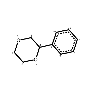 c1ccc(C2COCCO2)cc1